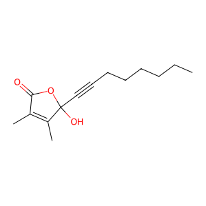 CCCCCCC#CC1(O)OC(=O)C(C)=C1C